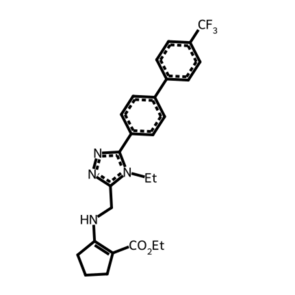 CCOC(=O)C1=C(NCc2nnc(-c3ccc(-c4ccc(C(F)(F)F)cc4)cc3)n2CC)CCC1